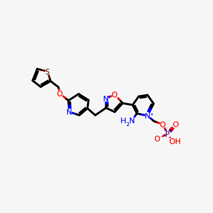 Nc1c(-c2cc(Cc3ccc(OCc4cccs4)nc3)no2)ccc[n+]1COP(=O)([O-])O